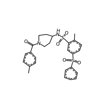 Cc1ccc(C(=O)N2CCC(NS(=O)(=O)c3cc(S(=O)(=O)c4ccccc4)ccc3C)CC2)cc1